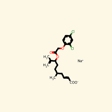 C=C(C)C(CCC(C)CC=CC(=O)[O-])OC(=O)COc1ccc(Cl)cc1Cl.[Na+]